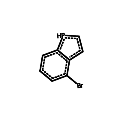 Brc1cccc2[pH]ccc12